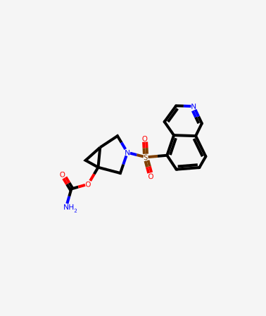 NC(=O)OC12CC1CN(S(=O)(=O)c1cccc3cnccc13)C2